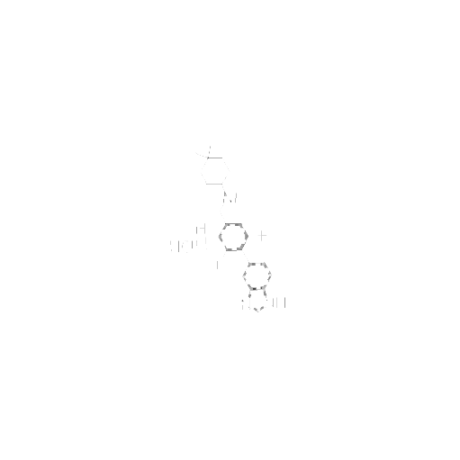 CC1(C)CCC(NCc2cc(F)c(-c3ccc4[nH]cnc4c3)c(F)c2)CC1.Cl.Cl